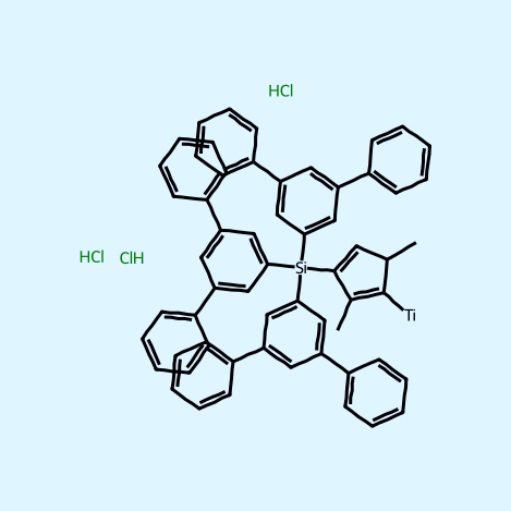 CC1=[C]([Ti])C(C)C=C1[Si](c1cc(-c2ccccc2)cc(-c2ccccc2)c1)(c1cc(-c2ccccc2)cc(-c2ccccc2)c1)c1cc(-c2ccccc2)cc(-c2ccccc2)c1.Cl.Cl.Cl